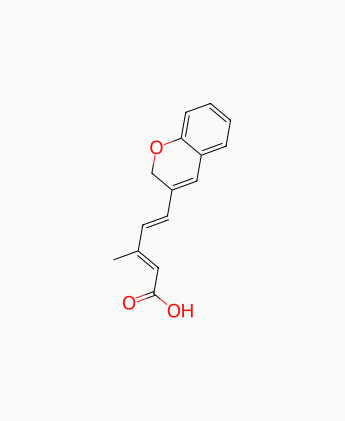 CC(C=CC1=Cc2ccccc2OC1)=CC(=O)O